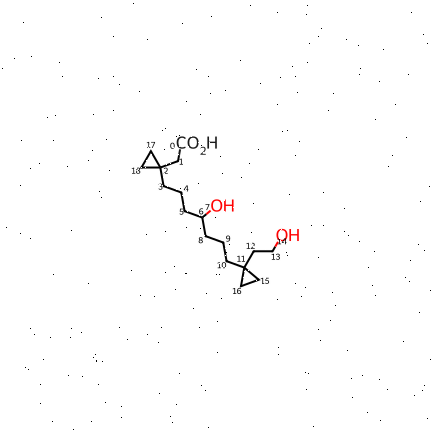 O=C(O)CC1(CCCC(O)CCCC2(CCO)CC2)CC1